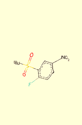 CC(C)(C)S(=O)(=O)c1cc([N+](=O)[O-])ccc1F